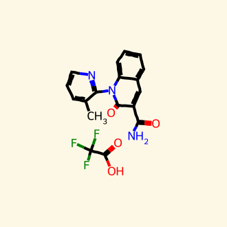 Cc1cccnc1-n1c(=O)c(C(N)=O)cc2ccccc21.O=C(O)C(F)(F)F